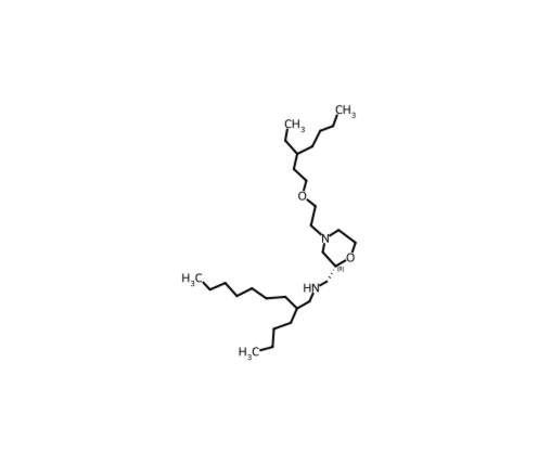 CCCCCCCC(CCCC)CNC[C@@H]1CN(CCOCCC(CC)CCCC)CCO1